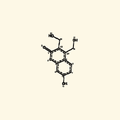 O=c1oc2cc(O)ccc2c(CO)c1CO